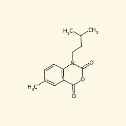 Cc1ccc2c(c1)c(=O)oc(=O)n2CCC(C)C